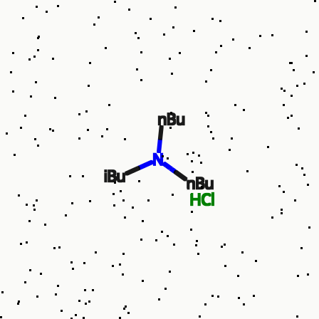 CCCCN(CCCC)C(C)CC.Cl